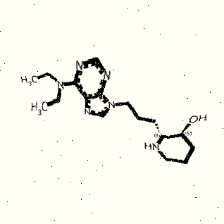 CCN(CC)c1ncnc2c1ncn2CCC[C@H]1NCCC[C@@H]1O